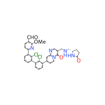 COc1nc(-c2cccc(-c3cccc(-c4ccn5c(=O)c(CNC[C@@H]6CCC(=O)N6)cnc5c4)c3Cl)c2Cl)ccc1C=O